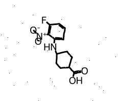 O=C(O)C1CCC(Nc2cccc(F)c2[N+](=O)[O-])CC1